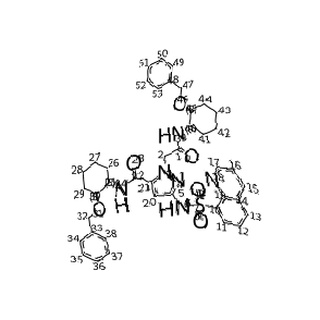 O=C(Cn1nc(NS(=O)(=O)c2cccc3cccnc23)cc1C(=O)N[C@H]1CCCC[C@@H]1OCc1ccccc1)N[C@H]1CCCC[C@@H]1OCc1ccccc1